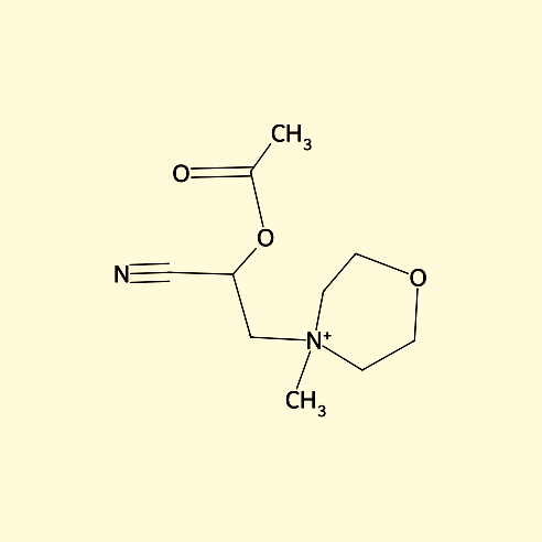 CC(=O)OC(C#N)C[N+]1(C)CCOCC1